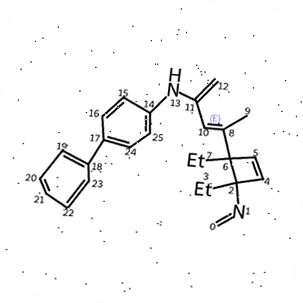 C=NC1(CC)C=CC1(CC)/C(C)=C/C(=C)Nc1ccc(-c2ccccc2)cc1